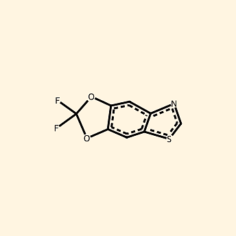 FC1(F)Oc2cc3ncsc3cc2O1